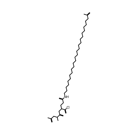 C=C(C)CCCCCCCCCCCCCCCCCCCCCCCCCCNC(=C)CCC(CC(=C)C(C)CC(=C)C)C(=C)Cl